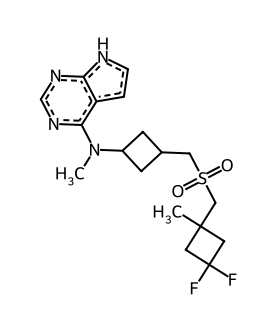 CN(c1ncnc2[nH]ccc12)C1CC(CS(=O)(=O)CC2(C)CC(F)(F)C2)C1